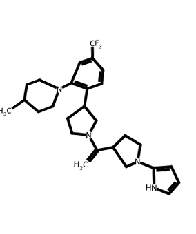 C=C(C1CCN(c2ccc[nH]2)C1)N1CCC(c2ccc(C(F)(F)F)cc2N2CCC(C)CC2)C1